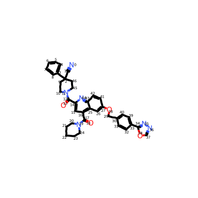 N#CC1(c2ccccc2)CCN(C(=O)c2cc(C(=O)N3CCCCC3)c3cc(OCc4ccc(-c5nnco5)cc4)ccc3n2)CC1